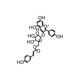 O=C(/C=C/c1ccc(O)cc1)OCC1O[C@@H](Oc2cc3c(O)cc(O)cc3[o+]c2-c2ccc(O)cc2)C(O)C(O)[C@@H]1O